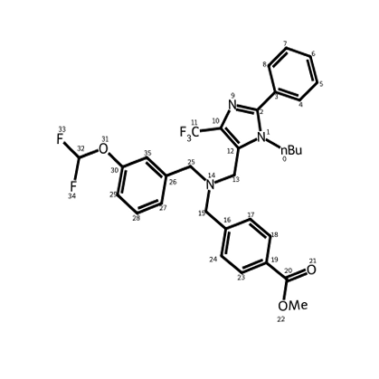 CCCCn1c(-c2ccccc2)nc(C(F)(F)F)c1CN(Cc1ccc(C(=O)OC)cc1)Cc1cccc(OC(F)F)c1